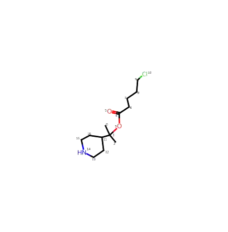 CC(C)(OC(=O)CCCCCl)C1CCNCC1